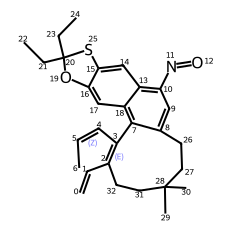 C=C/C1=C(\C=C/C)c2c(cc(N=O)c3cc4c(cc23)OC(CC)(CC)S4)CCC(C)(C)CC1